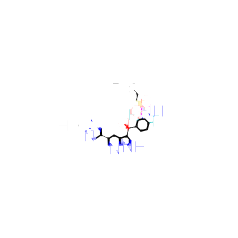 Cc1ncc(-c2cnc3[nH]cc(C(=O)c4ccc(F)c(NS(=O)(=O)CCC(F)(F)F)c4F)c3c2)cn1